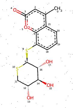 Cc1cc(=O)oc2c(S[C@@H]3SC[C@@H](O)[C@H](O)[C@H]3O)cccc12